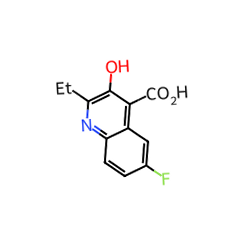 CCc1nc2ccc(F)cc2c(C(=O)O)c1O